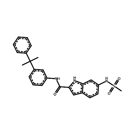 CC(C)(c1ccccc1)c1cccc(NC(=O)c2cc3ccc(NS(C)(=O)=O)cc3[nH]2)c1